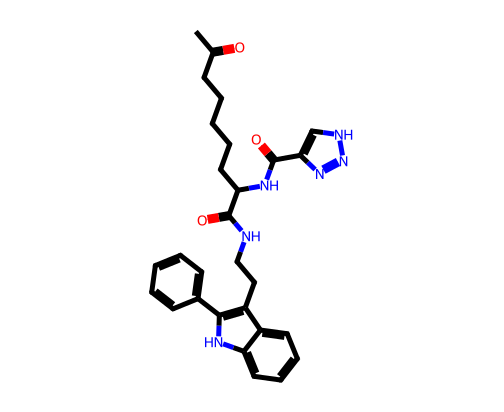 CC(=O)CCCCCC(NC(=O)c1c[nH]nn1)C(=O)NCCc1c(-c2ccccc2)[nH]c2ccccc12